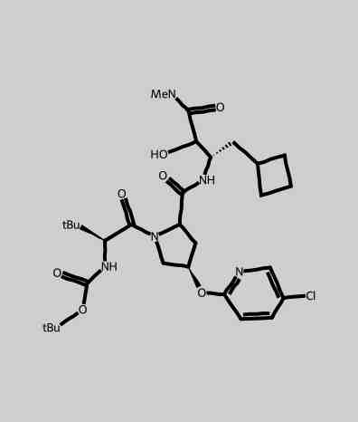 CNC(=O)C(O)[C@H](CC1CCC1)NC(=O)C1C[C@@H](Oc2ccc(Cl)cn2)CN1C(=O)[C@@H](NC(=O)OC(C)(C)C)C(C)(C)C